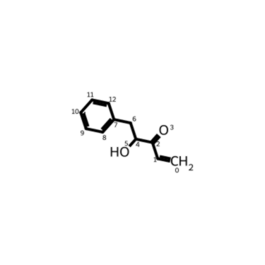 C=CC(=O)C(O)Cc1cc[c]cc1